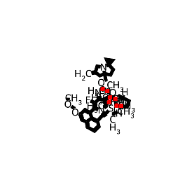 C=C1CN2C3(CC3)CCC2(COc2nc(N3C[C@H]4CC[C@@H](C3)N4C(=O)OC(C)(C)C)c3cnc(-c4cc(OCOC)cc5cccc(C#C[Si](C(C)C)(C(C)C)C(C)C)c45)c(F)c3n2)C1